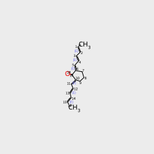 C/C=C/C=C/C=C1\CCC\C(=C/C=C/C=C/C)C1=O